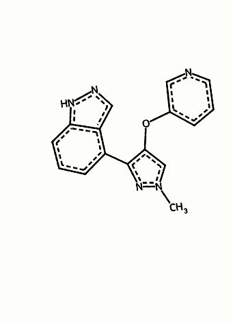 Cn1cc(Oc2cccnc2)c(-c2cccc3[nH]ncc23)n1